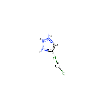 [Cl][Cu][Cl].c1c[nH]nn1